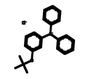 CC(C)(C)Oc1cccc([S+](c2ccccc2)c2ccccc2)c1.[Cl-]